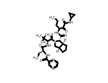 CCCC(NC(=O)[C@@H]1[C@H]2CCC[C@H]2CN1C(=O)[C@@H](NC(=O)[C@H](CC)NC(=O)c1cnccn1)C(C)(C)C)C(=O)C(=O)NC1CC1